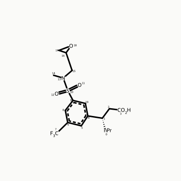 CCC[C@@H](CC(=O)O)c1cc(C(F)(F)F)cc(S(=O)(=O)N(C)CC2CO2)c1